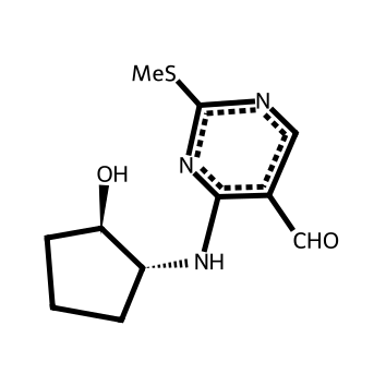 CSc1ncc(C=O)c(N[C@@H]2CCC[C@H]2O)n1